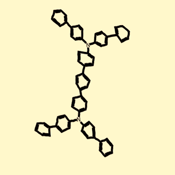 C1=CC(c2ccc(N(c3ccc(-c4ccccc4)cc3)c3ccc(-c4ccc(-c5ccc(N(c6ccc(-c7ccccc7)cc6)c6ccc(-c7ccccc7)cc6)cc5)cc4)cc3)cc2)=CCC1